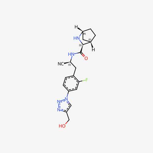 N#C[C@H](Cc1ccc(-n2cc(CO)nn2)cc1F)NC(=O)[C@H]1N[C@@H]2CC[C@H]1C2